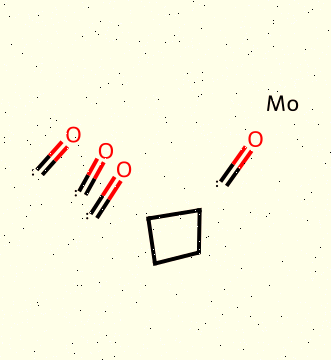 C1CCC1.[C]=O.[C]=O.[C]=O.[C]=O.[Mo]